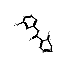 O=C([CH]c1cccc(O)c1)C1=CC=CCC1=S